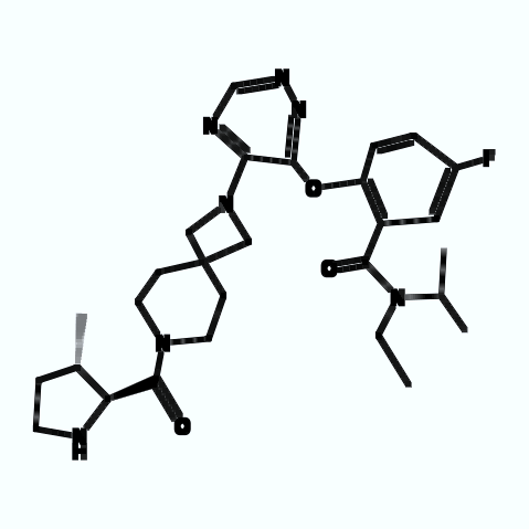 CCN(C(=O)c1cc(F)ccc1Oc1nncnc1N1CC2(CCN(C(=O)[C@H]3NCC[C@@H]3C)CC2)C1)C(C)C